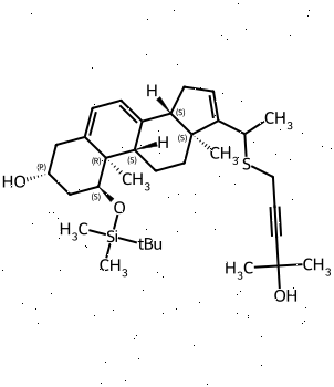 CC(SCC#CC(C)(C)O)C1=CC[C@H]2C3=CC=C4C[C@@H](O)C[C@H](O[Si](C)(C)C(C)(C)C)[C@]4(C)[C@H]3CC[C@]12C